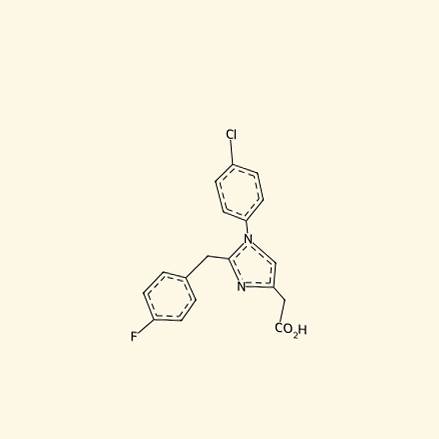 O=C(O)Cc1cn(-c2ccc(Cl)cc2)c(Cc2ccc(F)cc2)n1